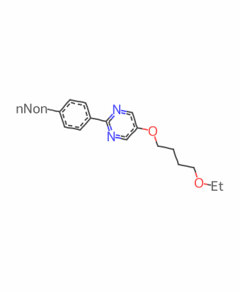 CCCCCCCCCc1ccc(-c2ncc(OCCCCOCC)cn2)cc1